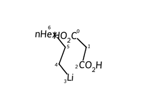 O=C(O)CC(=O)O.[Li][CH2]CCCCCCC